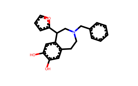 Oc1cc2c(cc1O)C(c1ccco1)CN(Cc1ccccc1)CC2